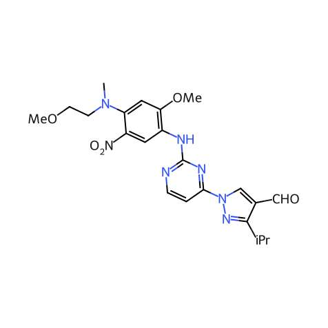 COCCN(C)c1cc(OC)c(Nc2nccc(-n3cc(C=O)c(C(C)C)n3)n2)cc1[N+](=O)[O-]